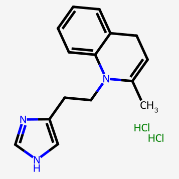 CC1=CCc2ccccc2N1CCc1c[nH]cn1.Cl.Cl